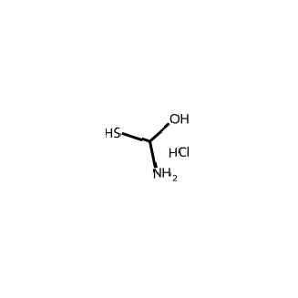 Cl.NC(O)S